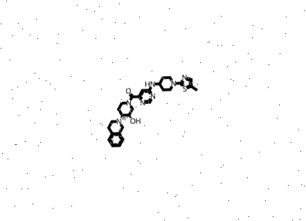 Cc1cnc(N2CCC(Nc3cc(C(=O)N4CC[C@@H](N5CCc6ccccc6C5)[C@H](O)C4)ncn3)CC2)s1